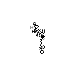 C#C[C@@]1(O)[C@@H]2O[P@@](=O)(OCCCCC(=O)OC3CCCC3)OC[C@H]2O[C@H]1n1ccc(=O)[nH]c1=O